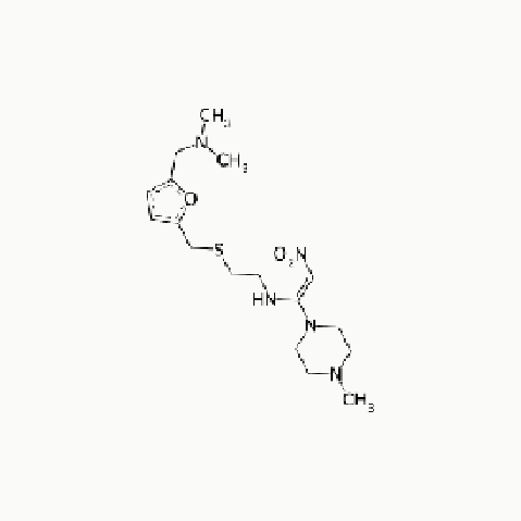 CN(C)Cc1ccc(CSCCNC(=C[N+](=O)[O-])N2CCN(C)CC2)o1